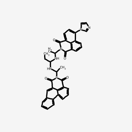 CCC(NC(C)N1C(=O)c2cccc3c(-n4ccnc4)ccc(c23)C1=O)NC(C)N1C(=O)c2cccc3c2c(cc2ccccc23)C1=O